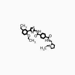 CCOc1ccc(CC)cc1-c1csc(NC(=O)c2ccc(C(=O)NC[C@H]3CCCN3CC)cc2)n1